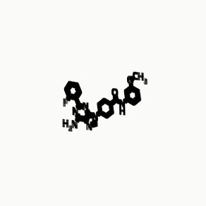 COc1cccc(NC(=O)C2CCC(n3cnc4c(N)nc(-c5ccccc5F)nc43)CC2)c1